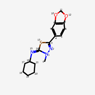 Cn1nc(-c2ccc3c(c2)OCO3)s/c1=N/C1CCCCC1